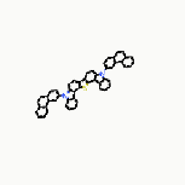 c1ccc2c(c1)ccc1ccc(-n3c4ccccc4c4c5sc6c(ccc7c6c6ccccc6n7-c6ccc7ccc8ccccc8c7c6)c5ccc43)cc12